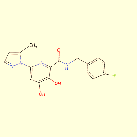 Cc1ccnn1-c1cc(O)c(O)c(C(=O)NCc2ccc(F)cc2)n1